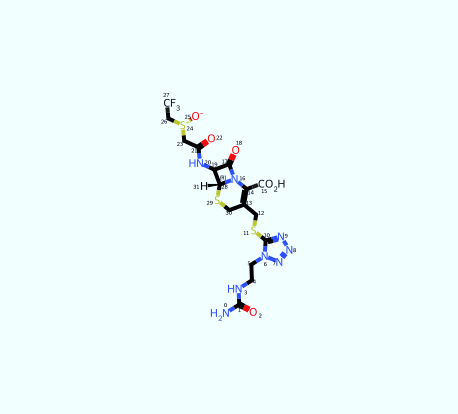 NC(=O)NCCn1nnnc1SCC1=C(C(=O)O)N2C(=O)C(NC(=O)C[S+]([O-])CC(F)(F)F)[C@H]2SC1